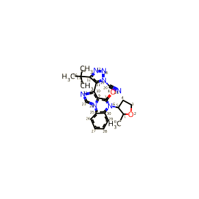 CC1OCCC1n1c(=O)c2c(-c3c(C(C)(C)C)nnn3C#N)ncn2c2ccccc21